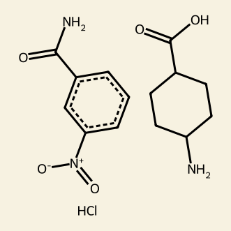 Cl.NC(=O)c1cccc([N+](=O)[O-])c1.NC1CCC(C(=O)O)CC1